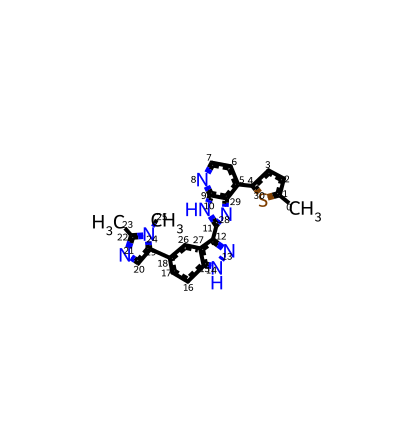 Cc1ccc(-c2ccnc3[nH]c(-c4n[nH]c5ccc(-c6cnc(C)n6C)cc45)nc23)s1